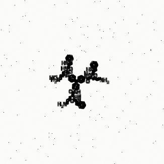 Cl.NCCCC[C@@H](NC(=O)c1cc2ccccc2[nH]1)C(=O)Nc1ccc(C(c2ccc(NC(=O)[C@@H](CCCCN)NC(=O)c3cc4ccccc4[nH]3)cc2)c2ccc(NC(=O)[C@@H](CCCCN)NC(=O)c3cc4ccccc4[nH]3)cc2)cc1